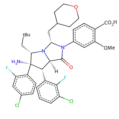 COc1cc(N2C(=O)[C@H]3[C@H](c4cccc(Cl)c4F)[C@@](N)(c4ccc(Cl)cc4F)[C@H](CC(C)(C)C)N3[C@@H]2CC2CCOCC2)ccc1C(=O)O